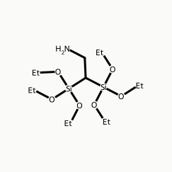 CCO[Si](OCC)(OCC)C(CN)[Si](OCC)(OCC)OCC